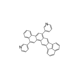 c1cncc(-c2cc3c4cc5c(cc4c(-c4cccnc4)cc3c3ccccc23)-c2cccc3cccc-5c23)c1